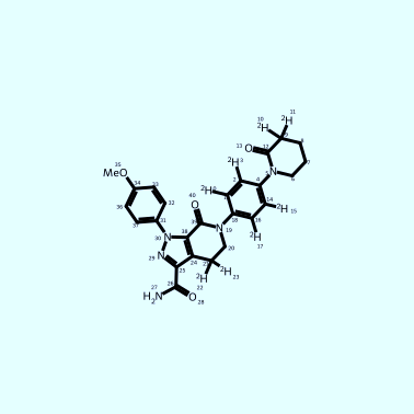 [2H]c1c([2H])c(N2CCCC([2H])([2H])C2=O)c([2H])c([2H])c1N1CC([2H])([2H])c2c(C(N)=O)nn(-c3ccc(OC)cc3)c2C1=O